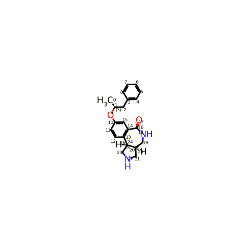 C[C@@H](Cc1ccccc1)Oc1ccc2c(c1)C(=O)NC[C@H]1CNC[C@H]21